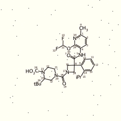 Cc1ccc(NC(=O)C2(c3ccccc3C(C)C)CN(C(=O)N3CCN(C(=O)O)C(C(C)(C)C)C3)C2)c(OC(F)F)n1